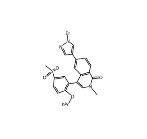 CCCOc1ccc(S(C)(=O)=O)cc1-c1cn(C)c(=O)c2ccc(-c3cnn(CC)c3)cc12